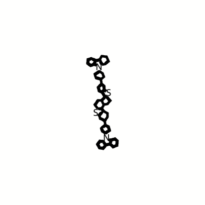 C1=Cc2c(c3ccccc3n2C2=CC=C(c3ccc4c5c(sc4c3)=CCC3C=5C=Cc4sc5c(c43)CCC(c3ccc(-n4c6ccccc6c6ccccc64)cc3)=C5)CC2)CC1